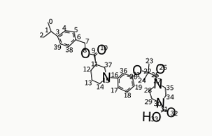 CC(C)c1ccc(COC(=O)[C@@H]2CCCN(c3cccc(OC(C)(C)C(=O)N4CCN(C(=O)O)CC4)c3)C2)cc1